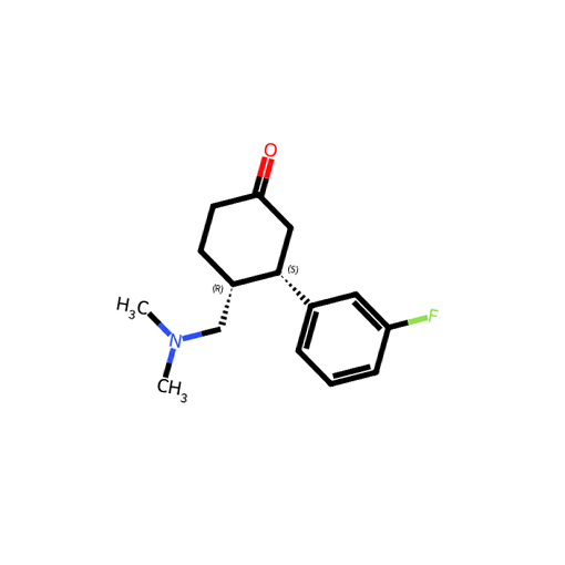 CN(C)C[C@@H]1CCC(=O)C[C@@H]1c1cccc(F)c1